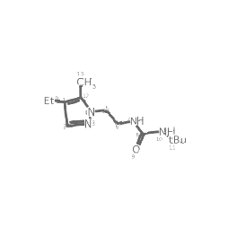 CCc1cnn(CCNC(=O)NC(C)(C)C)c1C